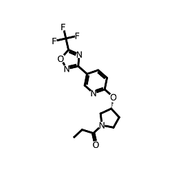 CCC(=O)N1CC[C@@H](Oc2ccc(-c3noc(C(F)(F)F)n3)cn2)C1